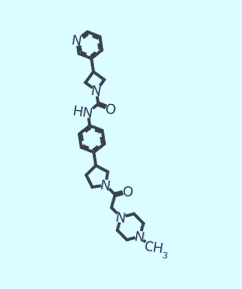 CN1CCN(CC(=O)N2CCC(c3ccc(NC(=O)N4CC(c5cccnc5)C4)cc3)C2)CC1